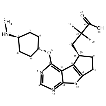 CN[C@H]1CC[C@H](Oc2ncnc3sc4c(c23)[C@@H](CC(F)(F)C(=O)O)CC4)CC1